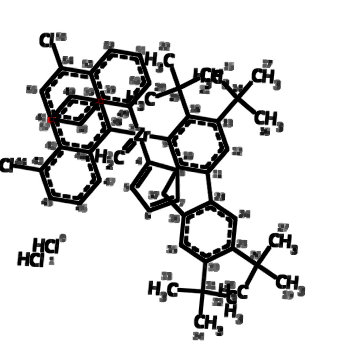 Cl.Cl.[CH2]=[Zr]([C]1=CC=CC1)([c]1c2c(cc(C(C)(C)C)c1C(C)(C)C)-c1cc(C(C)(C)C)c(C(C)(C)C)cc1C2)([c]1cccc2c(Cl)cccc12)[c]1cccc2c(Cl)cccc12